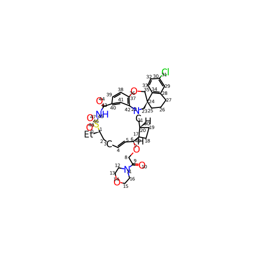 CC[C@@H]1CC/C=C/[C@H](OCC(=O)N2CCOCC2)[C@@H]2CC[C@H]2CN2C[C@@]3(CCCc4cc(Cl)ccc43)COc3ccc(cc32)C(=O)NS1(=O)=O